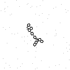 c1ccc2c(c1)Sc1ccc(-c3ccc(-c4ccc(-n5c6cc7ccccc7cc6c6c7ccccc7ccc65)cc4)cc3)c3cccc-2c13